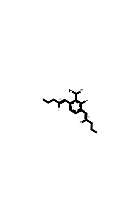 CCC/C(F)=C/c1ccc(/C=C(\F)CCC)c(C(F)F)c1F